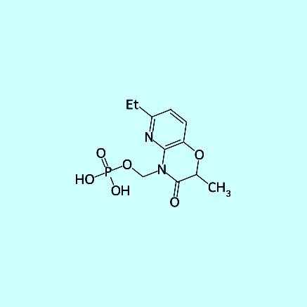 CCc1ccc2c(n1)N(COP(=O)(O)O)C(=O)C(C)O2